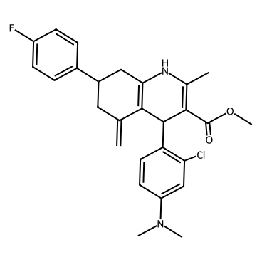 C=C1CC(c2ccc(F)cc2)CC2=C1C(c1ccc(N(C)C)cc1Cl)C(C(=O)OC)=C(C)N2